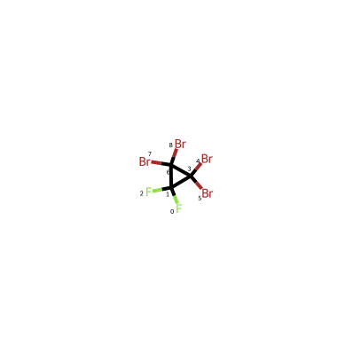 FC1(F)C(Br)(Br)C1(Br)Br